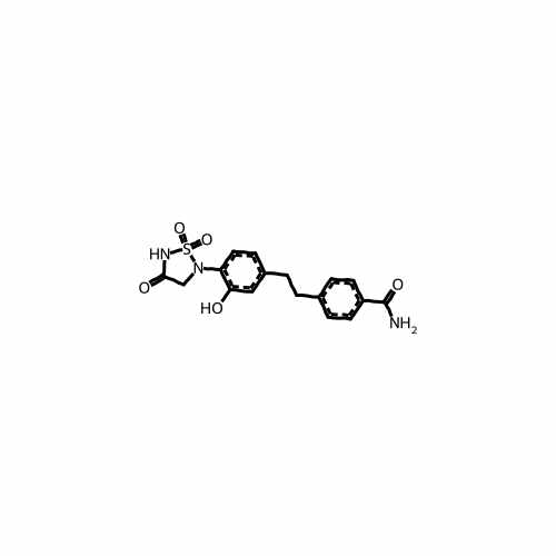 NC(=O)c1ccc(CCc2ccc(N3CC(=O)NS3(=O)=O)c(O)c2)cc1